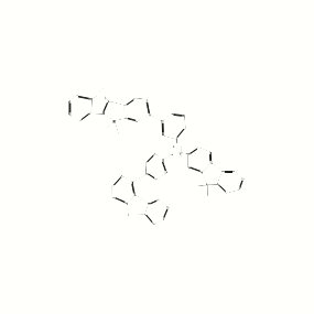 CC1(C)c2ccccc2-c2ccc(N(c3ccc(-c4cccc5oc6ccccc6c45)cc3)c3cccc(-c4ccc5c(c4)C(C)(C)c4c-5sc5ccccc45)c3)cc21